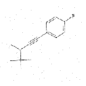 CC(C#Cc1ccc(F)cc1)C(C)(C)C